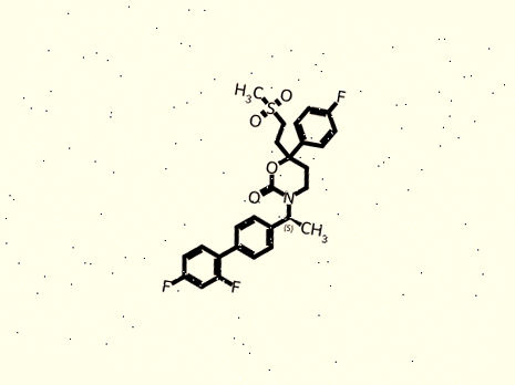 C[C@@H](c1ccc(-c2ccc(F)cc2F)cc1)N1CCC(CCS(C)(=O)=O)(c2ccc(F)cc2)OC1=O